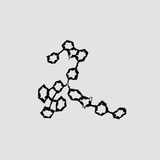 c1ccc(-c2ccc(-c3nc4ccc(N(c5ccc(-c6cccc7c6sc6c(-c8ccccc8)cccc67)cc5)c5ccc6c(c5)C(c5ccccc5)(c5ccccc5)c5ccccc5-6)cc4o3)cc2)cc1